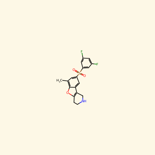 Cc1cc(S(=O)(=O)c2cc(F)cc(F)c2)cc2c3c(oc12)CCNC3